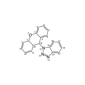 C1=CC2Oc3ccccc3C(n3nnc4ccccc43)C2C=C1